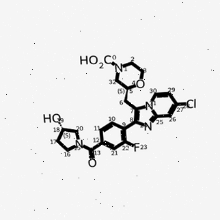 O=C(O)N1CCO[C@@H](Cc2c(-c3ccc(C(=O)N4CC[C@H](O)C4)cc3F)nc3cc(Cl)ccn23)C1